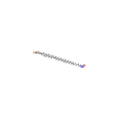 O=C=NCCCCCCCCCCCCCCCCCCCCCCCCCCCCCCCCCCCS